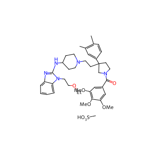 CCOCCn1c(NC2CCN(CCC3(c4ccc(C)c(C)c4)CCN(C(=O)c4cc(OC)c(OC)c(OC)c4)C3)CC2)nc2ccccc21.CS(=O)(=O)O